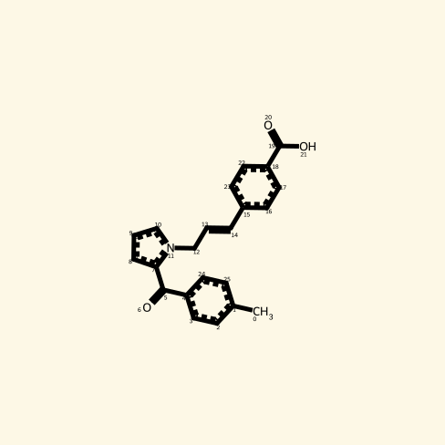 Cc1ccc(C(=O)c2cccn2CC=Cc2ccc(C(=O)O)cc2)cc1